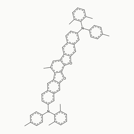 Cc1ccc(N(c2ccc3cc4c(cc3c2)oc2c4cc(C)c3c4cc5ccc(N(c6ccc(C)cc6)c6c(C)cccc6C)cc5cc4oc23)c2c(C)cccc2C)cc1